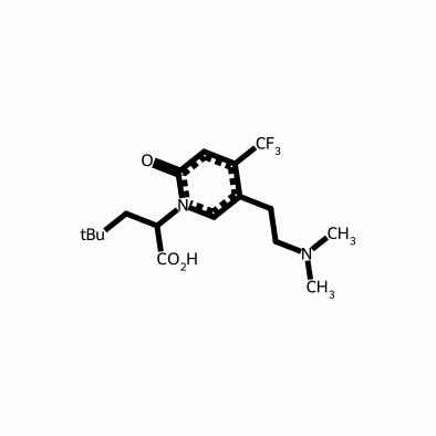 CN(C)CCc1cn(C(CC(C)(C)C)C(=O)O)c(=O)cc1C(F)(F)F